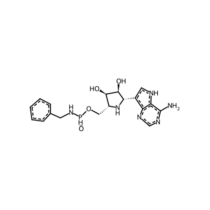 Nc1ncnc2c([C@@H]3N[C@H](CO[PH](=O)NCc4ccccc4)[C@@H](O)[C@H]3O)c[nH]c12